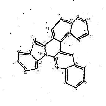 c1ccc2nc3c(cc2c1)c1c2ccccc2ccc1c1nc2ccccc2n31